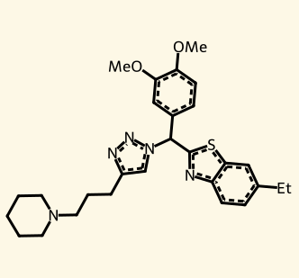 CCc1ccc2nc(C(c3ccc(OC)c(OC)c3)n3cc(CCCN4CCCCC4)nn3)sc2c1